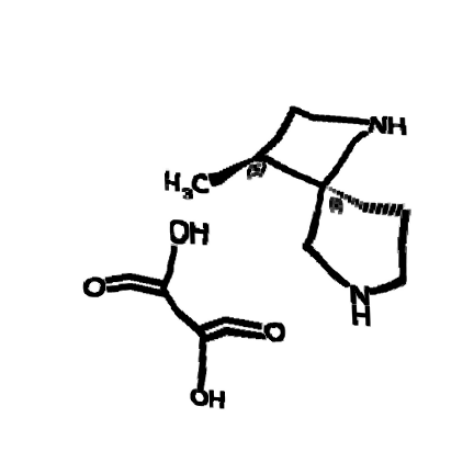 C[C@H]1CN[C@]12CCNC2.O=C(O)C(=O)O